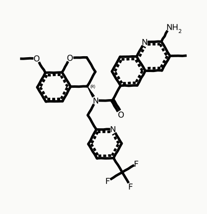 COc1cccc2c1OCC[C@H]2N(Cc1ccc(C(F)(F)F)cn1)C(=O)c1ccc2nc(N)c(C)cc2c1